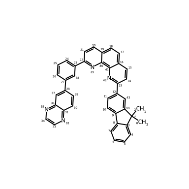 CC1(C)c2ccccc2-c2ccc(-c3ccc4ccc5ccc(-c6cccc(-c7ccc8nccnc8c7)c6)nc5c4n3)cc21